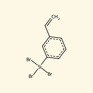 C=Cc1cccc([Si](Br)(Br)Br)c1